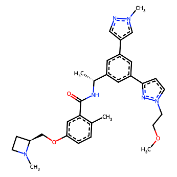 COCCn1ccc(-c2cc(-c3cnn(C)c3)cc([C@@H](C)NC(=O)c3cc(OC[C@@H]4CCN4C)ccc3C)c2)n1